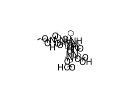 C=CCOC(=O)CNC(=O)C(=O)C(CCC)NC(=O)C(CC1CCCCC1)NC(=O)C(NC(=O)C(NC(=O)C(CCC(=O)O)NC(=O)C(CCC(=O)O)NC(C)=O)C(C)C)C1CCCCC1